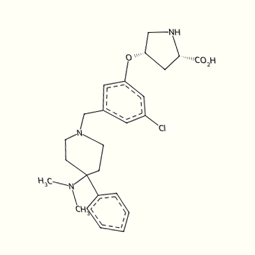 CN(C)C1(c2ccccc2)CCN(Cc2cc(Cl)cc(O[C@@H]3CN[C@H](C(=O)O)C3)c2)CC1